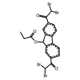 CCC(=O)OC1c2cc(C(=O)C(Br)Br)ccc2-c2ccc(C(=O)C(Br)Br)cc21